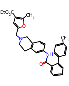 CCOC(=O)c1cc(CN2CCc3cc(NC(=O)c4ccccc4-c4ccc(C(F)(F)F)cc4)ccc3C2)oc1C